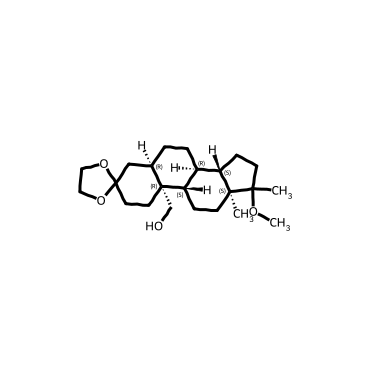 COC1(C)CC[C@H]2[C@@H]3CC[C@@H]4CC5(CC[C@]4(CO)[C@H]3CC[C@@]21C)OCCO5